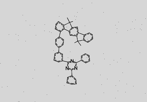 CC1(C)c2ccccc2-c2cc3c(cc21)-c1c(-c2ccc(-c4cccc(-c5nc(-c6ccccc6)nc(-c6ccccc6)n5)c4)cc2)cccc1C3(C)C